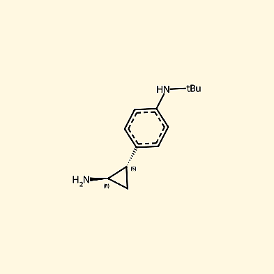 CC(C)(C)Nc1ccc([C@@H]2C[C@H]2N)cc1